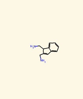 NCC1=Cc2ccccc2C1CN